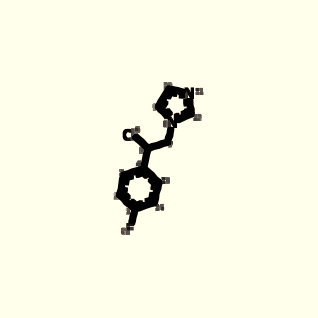 Fc1ccc(C(Cl)Cn2ccnc2)cc1